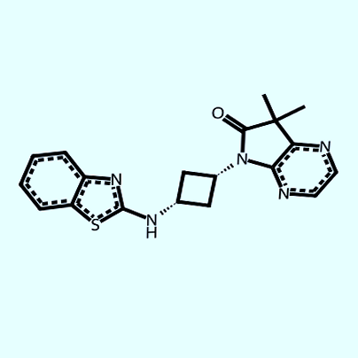 CC1(C)C(=O)N([C@H]2C[C@@H](Nc3nc4ccccc4s3)C2)c2nccnc21